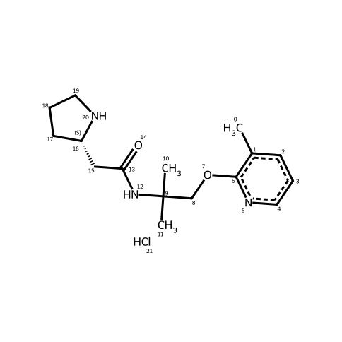 Cc1cccnc1OCC(C)(C)NC(=O)C[C@@H]1CCCN1.Cl